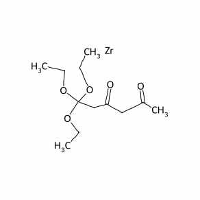 CCOC(CC(=O)CC(C)=O)(OCC)OCC.[Zr]